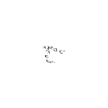 [Ce+3].[Cl-].[Cl-].[Cl-].[Cl-].[NH4+]